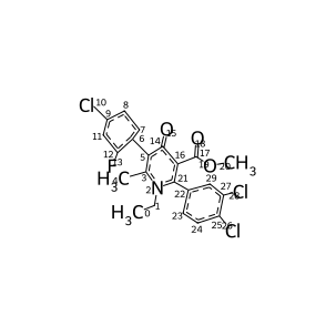 CCn1c(C)c(-c2ccc(Cl)cc2F)c(=O)c(C(=O)OC)c1-c1ccc(Cl)c(Cl)c1